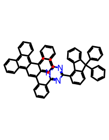 c1ccc(-c2nc(-c3ccccc3-c3cc4c5ccccc5c5ccccc5c4c4ccccc34)nc(-c3cccc4c3-c3ccccc3C4(c3ccccc3)c3ccccc3)n2)cc1